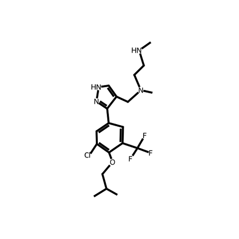 CNCCN(C)Cc1c[nH]nc1-c1cc(Cl)c(OCC(C)C)c(C(F)(F)F)c1